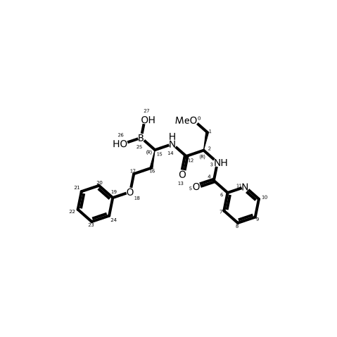 COC[C@@H](NC(=O)c1ccccn1)C(=O)N[C@@H](CCOc1ccccc1)B(O)O